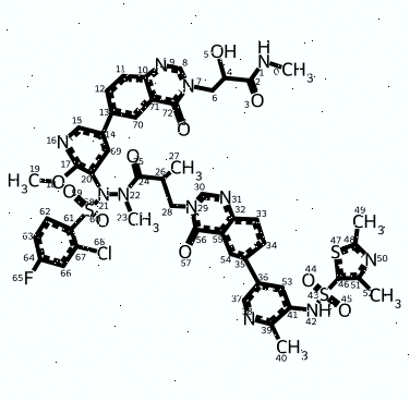 CNC(=O)C(O)Cn1cnc2ccc(-c3cnc(OC)c(N(N(C)C(=O)C(C)Cn4cnc5ccc(-c6cnc(C)c(NS(=O)(=O)c7sc(C)nc7C)c6)cc5c4=O)S(=O)(=O)c4ccc(F)cc4Cl)c3)cc2c1=O